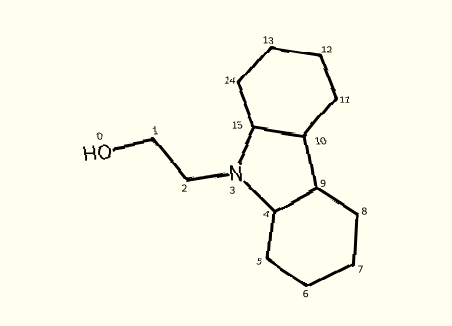 OCCN1C2CCCCC2C2CCCCC21